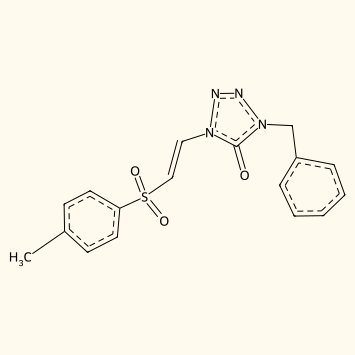 Cc1ccc(S(=O)(=O)C=Cn2nnn(Cc3ccccc3)c2=O)cc1